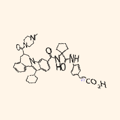 CN1CCN(C(=O)C2Cc3ccccc3-c3c(C4CCCCC4)c4ccc(C(=O)NC5(C(=O)Nc6ccc(/C=C/C(=O)O)cc6)CCCC5)cc4n3C2)CC1